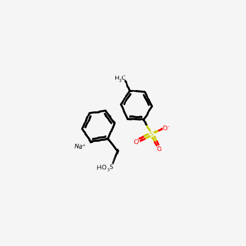 Cc1ccc(S(=O)(=O)[O-])cc1.O=S(=O)(O)Cc1ccccc1.[Na+]